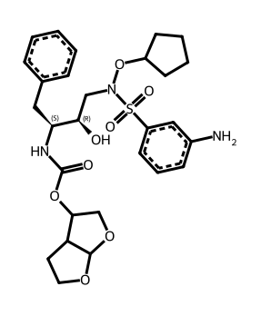 Nc1cccc(S(=O)(=O)N(C[C@@H](O)[C@H](Cc2ccccc2)NC(=O)OC2COC3OCCC23)OC2CCCC2)c1